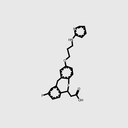 O=C(O)CC1Cc2ccc(OCCCNc3ccccn3)cc2Cc2cc(F)ccc21